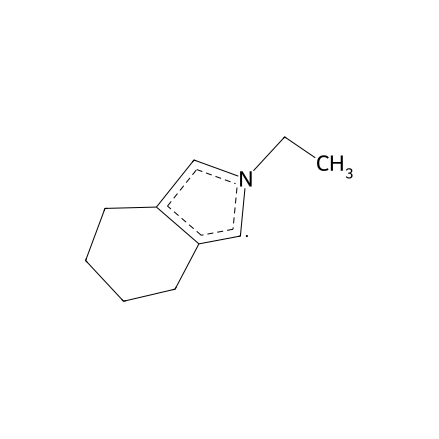 CCn1[c]c2c(c1)CCCC2